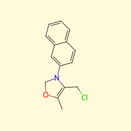 CC1=C(CCl)N(c2ccc3ccccc3c2)CO1